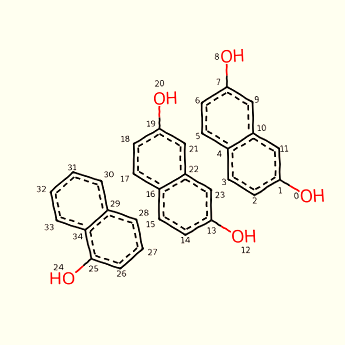 Oc1ccc2ccc(O)cc2c1.Oc1ccc2ccc(O)cc2c1.Oc1cccc2ccccc12